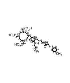 Cc1ccc(CCCC(=O)NCCCCC(NC(=O)CN2CCN(CC(=O)O)CCN(CC(=O)O)CCN(CC(=O)O)CC2)C(=O)NCCOC(C)C)cc1